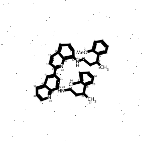 COc1ccccc1C(C)CCNc1cccc2ccc(-c3cc(NCCC(C)c4ccccc4Cl)c4ncccc4c3)nc12